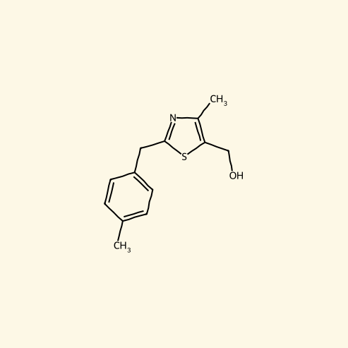 Cc1ccc(Cc2nc(C)c(CO)s2)cc1